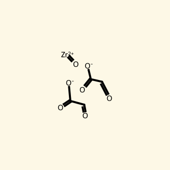 O=CC(=O)[O-].O=CC(=O)[O-].[O]=[Zr+2]